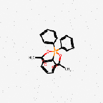 CC(=O)OP(OC(C)=O)(c1ccccc1)(c1ccccc1)c1ccccc1